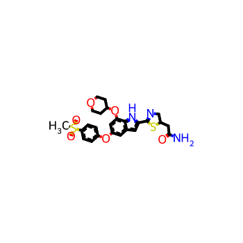 CS(=O)(=O)c1ccc(Oc2cc(OC3CCOCC3)c3[nH]c(C4=NCC(CC(N)=O)S4)cc3c2)cc1